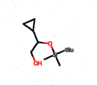 CC(C)(C)[Si](C)(C)OC(CO)C1CC1